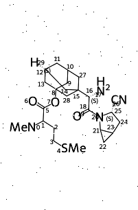 CNC(CCSC)C(=O)OC12CC3C[C@H](C1)CC([C@H](N)C(=O)N1C4CC4C[C@H]1C#N)(C3)C2